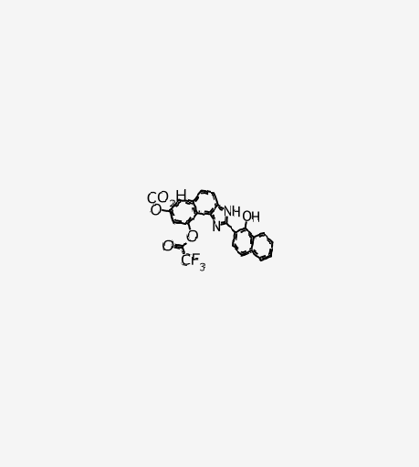 O=C(O)Oc1cc(OC(=O)C(F)(F)F)c2c(ccc3[nH]c(-c4ccc5ccccc5c4O)nc32)c1